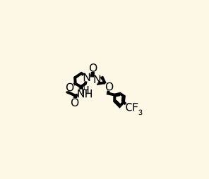 O=C1COC2CCN(C(=O)N3CC(OCc4ccc(C(F)(F)F)cc4)C3)C[C@H]2N1